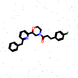 O=C(CCc1ccc(F)cc1)N1CCOC(c2cccc(Cc3ccccc3)n2)C1